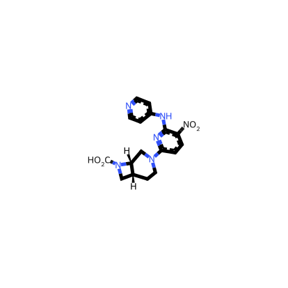 O=C(O)N1C[C@H]2CCN(c3ccc([N+](=O)[O-])c(Nc4ccncc4)n3)C[C@H]21